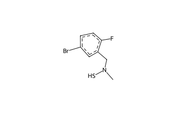 CN(S)Cc1cc(Br)ccc1F